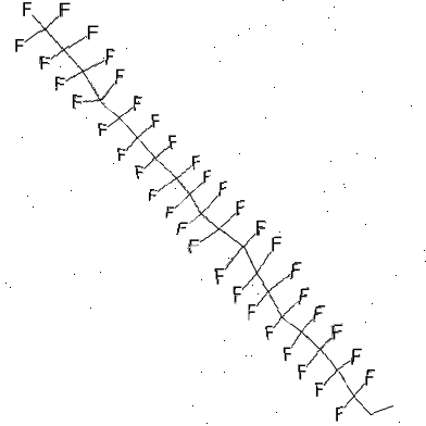 CCC(F)(F)C(F)(F)C(F)(F)C(F)(F)C(F)(F)C(F)(F)C(F)(F)C(F)(F)C(F)(F)C(F)(F)C(F)(F)C(F)(F)C(F)(F)C(F)(F)C(F)(F)C(F)(F)C(F)(F)C(F)(F)C(F)(F)F